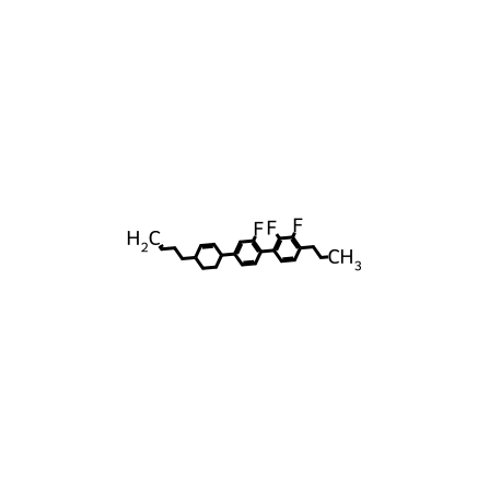 C=CCCC1C=CC(c2ccc(-c3ccc(CCC)c(F)c3F)c(F)c2)CC1